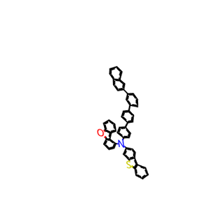 c1cc(-c2ccc(-c3ccc(N(c4ccc5c(c4)sc4ccccc45)c4cccc5oc6ccccc6c45)cc3)cc2)cc(-c2ccc3ccccc3c2)c1